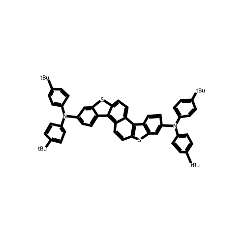 CC(C)(C)c1ccc(N(c2ccc(C(C)(C)C)cc2)c2ccc3c(c2)sc2ccc4c(ccc5sc6cc(N(c7ccc(C(C)(C)C)cc7)c7ccc(C(C)(C)C)cc7)ccc6c54)c23)cc1